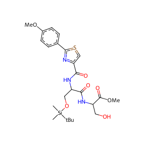 COC(=O)C(CO)NC(=O)C(CO[Si](C)(C)C(C)(C)C)NC(=O)c1csc(-c2ccc(OC)cc2)n1